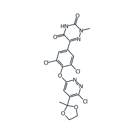 Cn1nc(-c2cc(Cl)c(Oc3cc(C4(C)OCCO4)c(Cl)nn3)c(Cl)c2)c(=O)[nH]c1=O